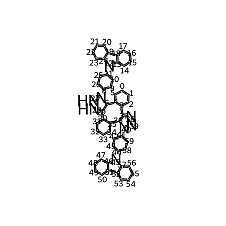 c1ccc2c(c1)c1n(-c3ccc(-n4c5ccccc5c5ccccc54)cc3)[nH][nH]c=1c1ccccc1c1c2nnn1-c1ccc(-n2c3ccccc3c3ccccc32)cc1